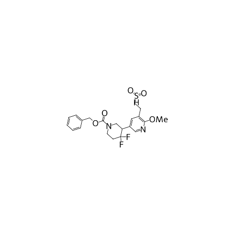 COc1ncc(C2CN(C(=O)OCc3ccccc3)CCC2(F)F)cc1CC[SH](=O)=O